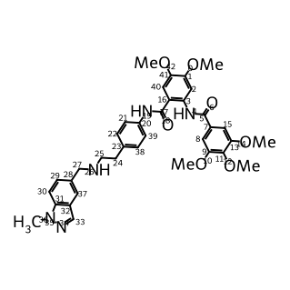 COc1cc(NC(=O)c2cc(OC)c(OC)c(OC)c2)c(C(=O)Nc2ccc(CCNCc3ccc4c(cnn4C)c3)cc2)cc1OC